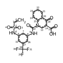 C=CS(=O)(=O)Nc1cc(NC(=O)n2cc(C(=O)O)c(=O)c3ccccc32)cc(C(F)(F)F)c1